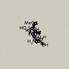 COc1cc(C)c(C)cc1N=Nc1cc(S(=O)(=O)O)c(NCCC(=O)O)cc1Nc1nc(Nc2ccc(N=Nc3c(N)ccc4cc(SOOO)cc(O)c34)c(S(=O)(=O)O)c2)nc(-[n+]2cccc(C)c2)n1